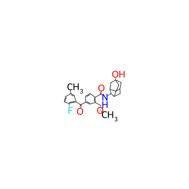 COCc1cc(C(=O)c2cc(C)ccc2F)ccc1C(=O)NC1C2CC3CC1CC(O)(C3)C2